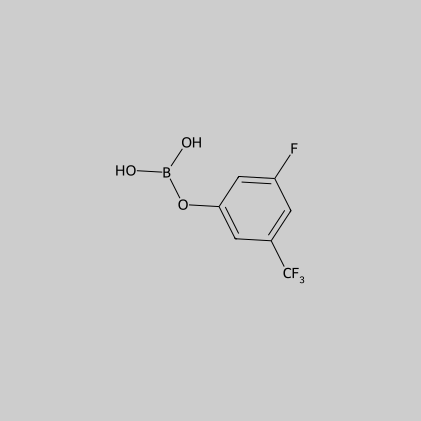 OB(O)Oc1cc(F)cc(C(F)(F)F)c1